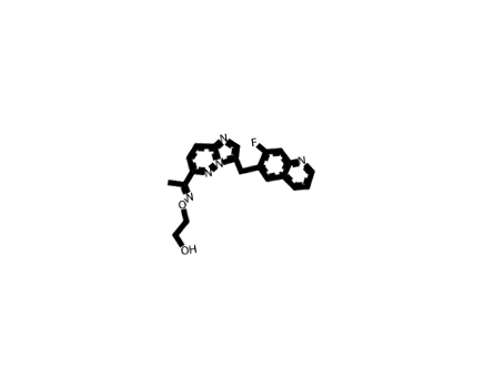 CC(=NOCCO)c1ccc2ncc(Cc3cc4cccnc4cc3F)n2n1